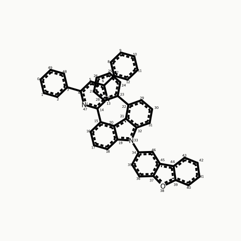 c1ccc(-c2cc(-c3ccccc3)nc(-c3cccc4c3c3c(-c5ccccc5)cccc3n4-c3ccc4oc5ccccc5c4c3)n2)cc1